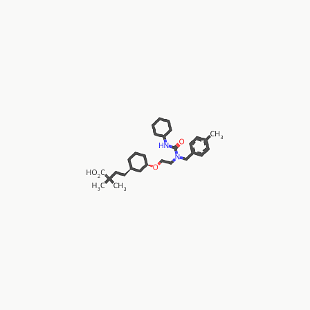 Cc1ccc(CN(CCO[C@@H]2CCC[C@H](CCC(C)(C)C(=O)O)C2)C(=O)NC2CCCCC2)cc1